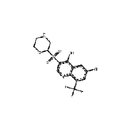 O=S(=O)(c1cnc2c(C(F)(F)F)cc(Cl)cc2c1O)C1CNCCS1